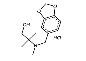 CN(Cc1ccc2c(c1)OCO2)C(C)(C)CO.Cl